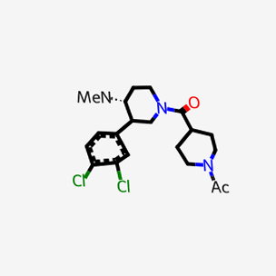 CN[C@@H]1CCN(C(=O)C2CCN(C(C)=O)CC2)CC1c1ccc(Cl)c(Cl)c1